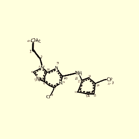 CC(=O)OCCn1cnc2c(Cl)nc(Nc3cccc(C(F)(F)F)c3)nc21